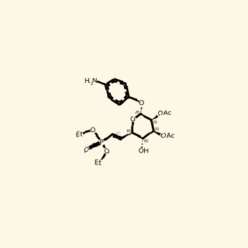 CCOP(=O)(/C=C/[C@H]1O[C@H](Oc2ccc(N)cc2)[C@@H](OC(C)=O)[C@@H](OC(C)=O)[C@@H]1O)OCC